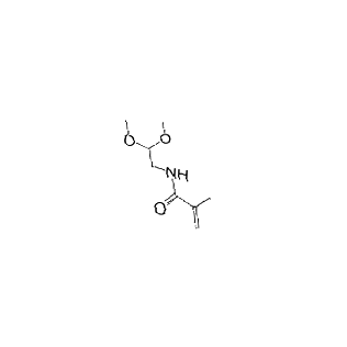 C=C(C)C(=O)NCC(OC)OC